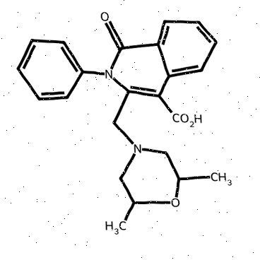 CC1CN(Cc2c(C(=O)O)c3ccccc3c(=O)n2-c2ccccc2)CC(C)O1